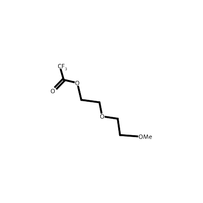 COCCOCCOC(=O)C(F)(F)F